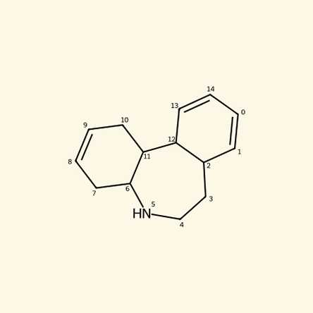 C1=CC2CCNC3CC=CCC3C2C=C1